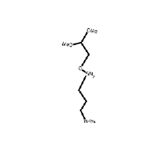 CCCCCCCCC[SiH2]OCC(OC)OC